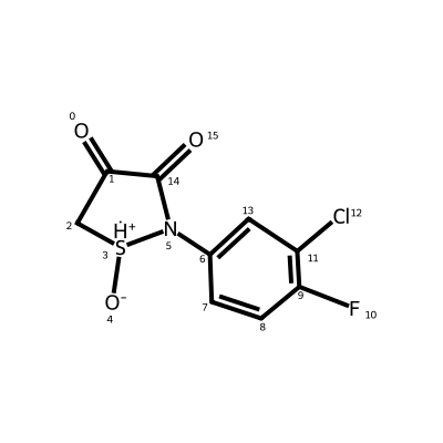 O=C1C[SH+]([O-])N(c2ccc(F)c(Cl)c2)C1=O